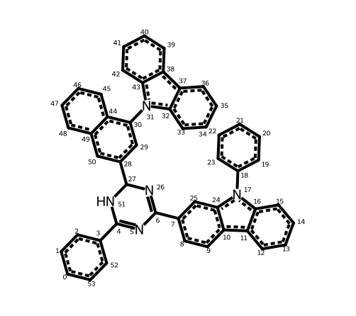 c1ccc(C2=NC(c3ccc4c5ccccc5n(-c5ccccc5)c4c3)=NC(c3cc(-n4c5ccccc5c5ccccc54)c4ccccc4c3)N2)cc1